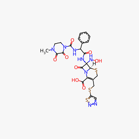 CN1CCN(C(=O)NC(C(=O)N[C@]2(NO)C(=O)N3C(C(=O)O)=C(CSc4cnns4)CS[C@@H]32)c2ccccc2)C(=O)C1=O